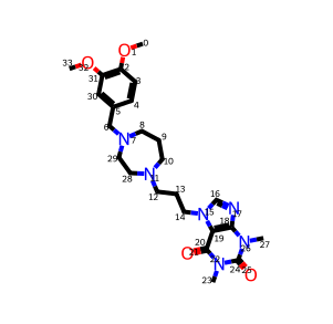 COc1ccc(CN2CCCN(CCCn3cnc4c3c(=O)n(C)c(=O)n4C)CC2)cc1OC